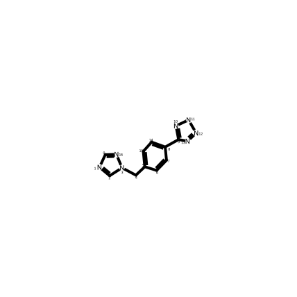 c1ncn(Cc2ccc(C3=N[N]N=N3)cc2)n1